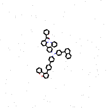 c1ccc(-n2c3oc4ccccc4c3c3cccc(-c4ccc(N(c5ccc(-c6ccc(-c7cccc8oc9ccccc9c78)cc6)cc5)c5ccc(-c6cccc7ccccc67)cc5)cc4)c32)cc1